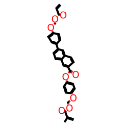 C=CC(=O)OCOc1ccc(-c2ccc3cc(C(=O)Oc4ccc(OCOC(=O)C(=C)C)cc4)ccc3c2)cc1